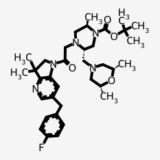 C[C@@H]1CN(C[C@H]2CN(C(=O)OC(C)(C)C)[C@H](C)CN2CC(=O)N2CC(C)(C)c3ncc(Cc4ccc(F)cc4)cc32)C[C@H](C)O1